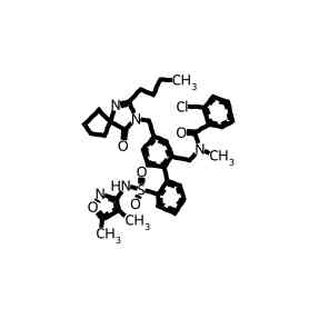 CCCCC1=NC2(CCCC2)C(=O)N1Cc1ccc(-c2ccccc2S(=O)(=O)Nc2noc(C)c2C)c(CN(C)C(=O)c2ccccc2Cl)c1